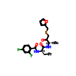 CCCC[C@H](NC(=O)[C@H](CC(C)C)NC(=O)c1ccc(F)cc1F)C(=O)CSCc1ccco1